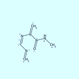 C=N/C=N\C(=C)C(=O)NC